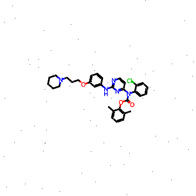 Cc1cccc(C)c1OC(=O)N(c1ccnc(Nc2cccc(OCCCN3CCCCC3)c2)n1)c1ccccc1Cl